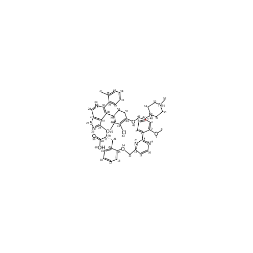 COc1ccccc1-c1nccc(COc2ccccc2C[C@@H](Oc2nsc3cnc(-c4ccccc4C)c(C4=C(C)C(Cl)=C(OCCN5CCN(C)CC5)CC4)c23)C(=O)O)n1